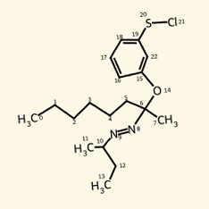 CCCCCCC(C)(N=NC(C)CC)Oc1cccc(SCl)c1